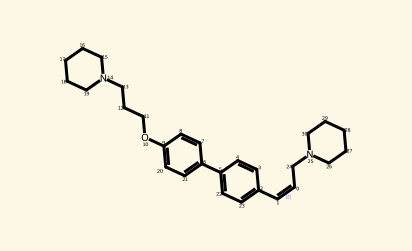 C(=C/c1ccc(-c2ccc(OCCCN3CCCCC3)cc2)cc1)/CN1CCCCC1